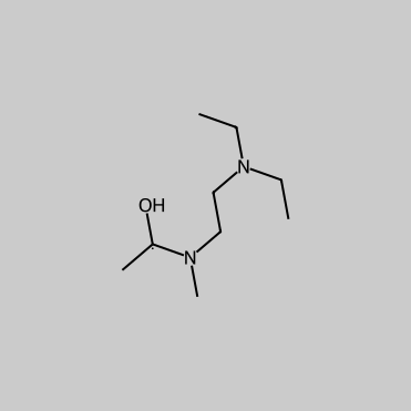 CCN(CC)CCN(C)[C](C)O